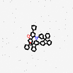 CC1(C)c2ccccc2-c2ccc(N(c3cccc(C4(c5ccccc5)c5ccccc5-c5ccccc54)c3)c3cc(-c4ccccc4)cc4oc5cc(-c6ccccc6)ccc5c34)cc21